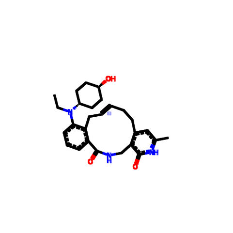 CCN(c1cccc2c1C/C=C/CCc1cc(C)[nH]c(=O)c1CNC2=O)[C@H]1CC[C@H](O)CC1